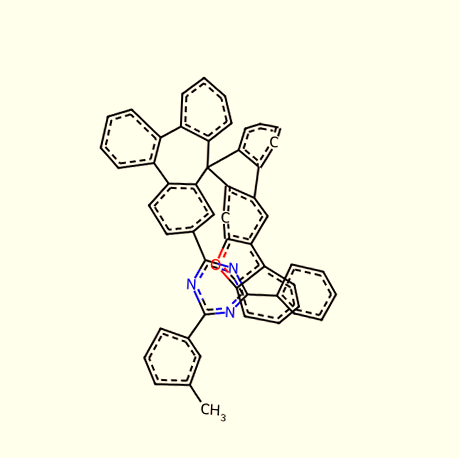 Cc1cccc(-c2nc(-c3ccccc3)nc(-c3ccc4c(c3)C3(c5ccccc5-c5ccccc5-4)c4ccccc4-c4cc5c(cc43)oc3ccccc35)n2)c1